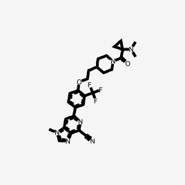 CN(C)C1(C(=O)N2CCC(CCOc3ccc(-c4cc5c(ncn5C)c(C#N)n4)cc3C(F)(F)F)CC2)CC1